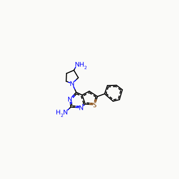 Nc1nc(N2CCC(N)C2)c2cc(-c3ccccc3)sc2n1